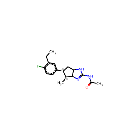 CCc1cc([C@H]2CC3NC(NC(C)=O)=NC3[C@H]2C)ccc1F